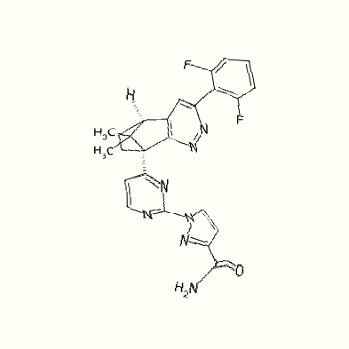 CC1(C)[C@H]2CC[C@]1(c1ccnc(-n3ccc(C(N)=O)n3)n1)c1nnc(-c3c(F)cccc3F)cc12